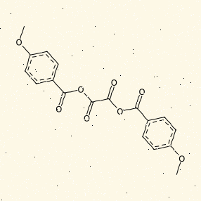 COc1ccc(C(=O)OC(=O)C(=O)OC(=O)c2ccc(OC)cc2)cc1